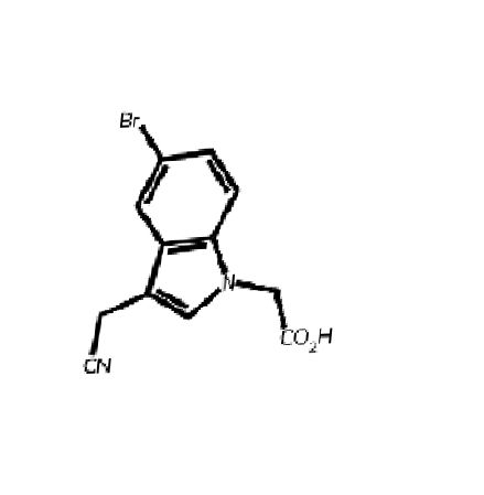 N#CCc1cn(CC(=O)O)c2ccc(Br)cc12